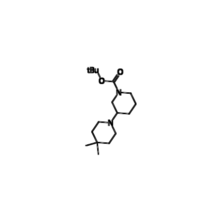 CC1(C)CCN(C2CCCN(C(=O)OC(C)(C)C)C2)CC1